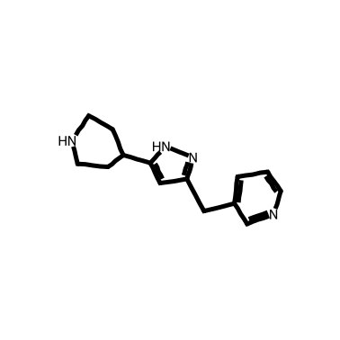 c1cncc(Cc2cc(C3CCNCC3)[nH]n2)c1